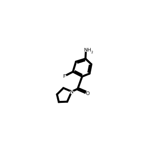 Nc1ccc(C(=O)N2CCCC2)c(F)c1